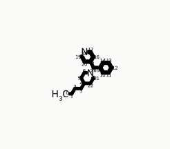 CCCCC1CCN(C(c2ccccc2)c2ccncc2)CC1